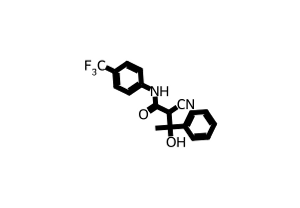 CC(O)(c1ccccc1)C(C#N)C(=O)Nc1ccc(C(F)(F)F)cc1